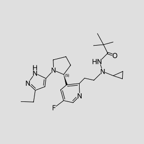 CCc1cc(N2CCC[C@H]2c2cc(F)cnc2CCN(NC(=O)C(C)(C)C)C2CC2)[nH]n1